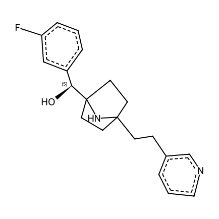 O[C@@H](c1cccc(F)c1)C12CCC(CCc3cccnc3)(CC1)N2